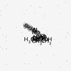 C[C@@H](NC(=O)[C@H](Cc1ccc(-c2ncc(C3=CCC(c4ccccc4)CC3)cn2)cc1)NC(=O)c1ccc(C(C)(C)C)s1)C(=O)O